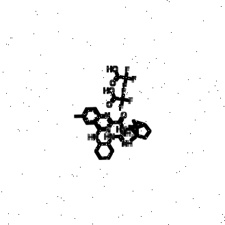 Cc1ccc2nc(C(=O)NC3CC4CCC3(C)C4(C)C)nc(NC3CCCCC3NC(=N)N)c2c1.O=C(O)C(F)(F)F.O=C(O)C(F)(F)F